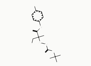 CC(C)(C)OC(=O)NNC(C)(CO)C(=O)Nc1ccc(O)cc1